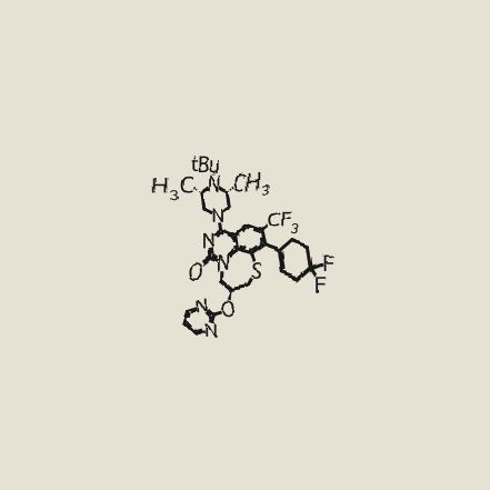 C[C@@H]1CN(c2nc(=O)n3c4c(c(C5=CCC(F)(F)CC5)c(C(F)(F)F)cc24)SC[C@@H](Oc2ncccn2)C3)C[C@H](C)N1C(C)(C)C